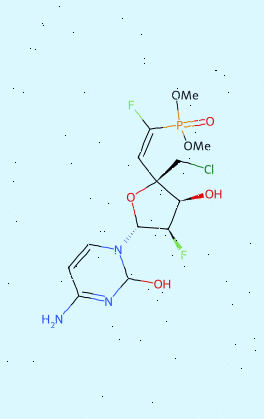 COP(=O)(OC)/C(F)=C\[C@@]1(CCl)O[C@@H](N2C=CC(N)=NC2O)[C@H](F)[C@@H]1O